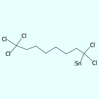 ClC(Cl)(Cl)CCCCCC[C](Cl)(Cl)[Sn]